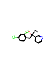 CC(C)C(O)(Cc1ccc(Cl)cc1Cl)c1cccnc1